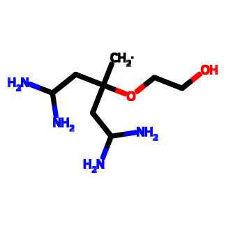 [CH2]C(CC(N)N)(CC(N)N)OCCO